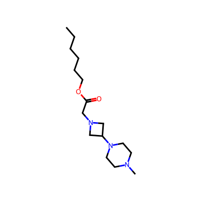 CCCCCCOC(=O)CN1CC(N2CCN(C)CC2)C1